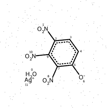 O.O=[N+]([O-])c1ccc([O-])c([N+](=O)[O-])c1[N+](=O)[O-].[Ag+]